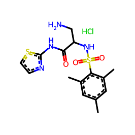 Cc1cc(C)c(S(=O)(=O)NC(CN)C(=O)Nc2nccs2)c(C)c1.Cl